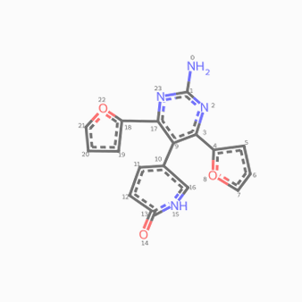 Nc1nc(-c2ccco2)c(-c2ccc(=O)[nH]c2)c(-c2ccco2)n1